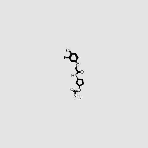 NC(=O)O[C@H]1CC[C@H](NC(=O)COc2ccc(Cl)c(F)c2)C1